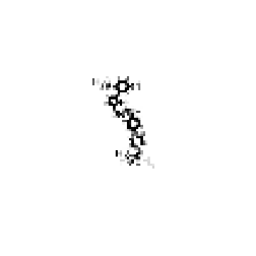 COc1ccc(Cl)cc1-c1ccc2cnc(Nc3ccc(N4CCN(CC(C)(C)O)CC4)cc3)nn12